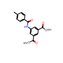 COC(=O)c1cc(NC(=O)c2ccc(C)cc2)cc(C(=O)OC)c1